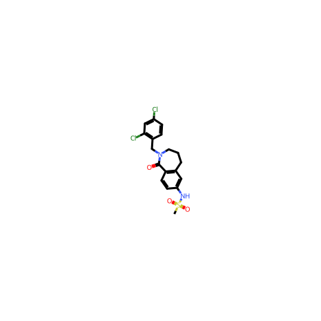 CS(=O)(=O)Nc1ccc2c(c1)CCCN(Cc1ccc(Cl)cc1Cl)C2=O